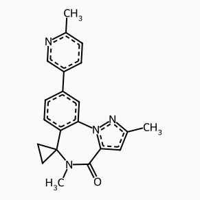 Cc1ccc(-c2ccc3c(c2)-n2nc(C)cc2C(=O)N(C)C32CC2)cn1